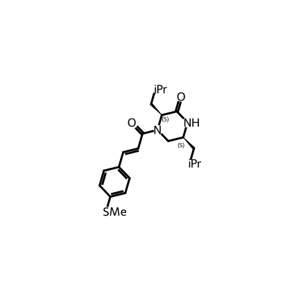 CSc1ccc(C=CC(=O)N2C[C@H](CC(C)C)NC(=O)[C@@H]2CC(C)C)cc1